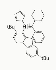 CC(C)(C)c1ccc2c(c1)Cc1c-2ccc(C(C)(C)C)[c]1[Hf-2](=[C](c1ccccc1)C1CCCCC1)[CH]1C=CC=C1